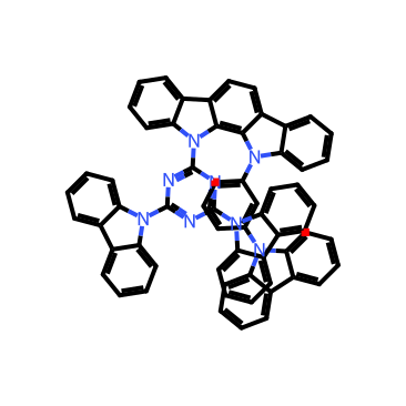 c1cc(-n2c3ccccc3c3ccccc32)cc(-n2c3ccccc3c3ccc4c5ccccc5n(-c5nc(-n6c7ccccc7c7ccccc76)nc(-n6c7ccccc7c7ccccc76)n5)c4c32)c1